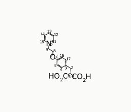 O=C(O)C(Cc1ccc(OCC[n+]2ccccc2)cc1)C(=O)O